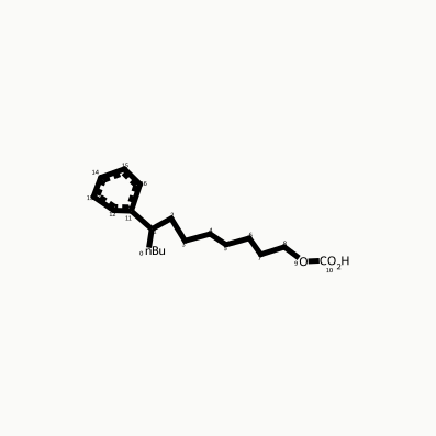 CCCCC(CCCCCCCOC(=O)O)c1ccccc1